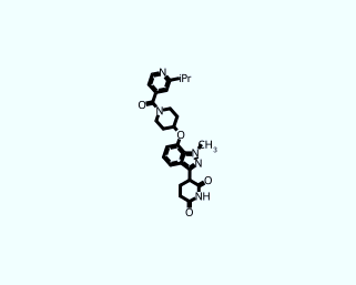 CC(C)c1cc(C(=O)N2CCC(Oc3cccc4c(C5CCC(=O)NC5=O)nn(C)c34)CC2)ccn1